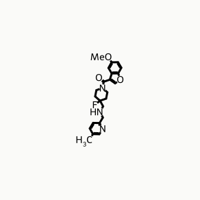 COc1ccc2occ(C(=O)N3CCC(F)(CNCc4ccc(C)cn4)CC3)c2c1